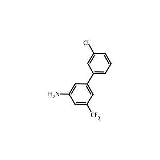 Nc1cc(-c2cccc(Cl)c2)cc(C(F)(F)F)c1